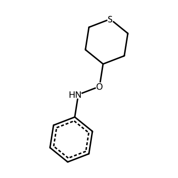 c1ccc(NOC2CCSCC2)cc1